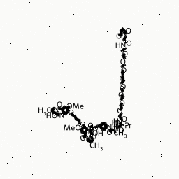 COc1cc2c(cc1OCCCCCOc1cc3c(cc1OC)C(=O)N1C=C(C)C[C@H]1[C@H](O)N3C(=O)OCc1ccc(NC(=O)[C@H](C)NC(=O)[C@@H](NC(=O)CCOCCOCCOCCOCCOCCOCCOCCOCCNC(=O)CCN3C(=O)C=CC3=O)C(C)C)cc1)N=C[C@]1(O)CC(C)=CN1C2=O